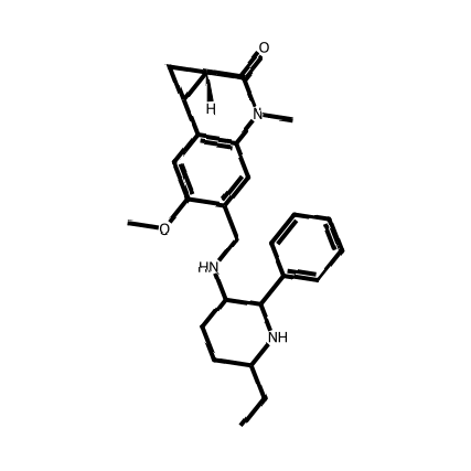 CCC1CCC(NCc2cc3c(cc2OC)C2C[C@@H]2C(=O)N3C)C(c2ccccc2)N1